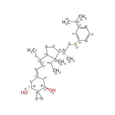 CC/C(=C\C=C1C[C@@H](O)C2(CC2)[C@H](O)C1)C1CCC([C@@H](C)CSc2cccc(C(C)C)c2)C1(C)CC